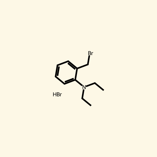 Br.CCN(CC)c1ccccc1CBr